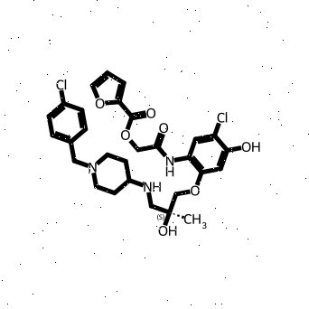 C[C@](O)(CNC1CCN(Cc2ccc(Cl)cc2)CC1)COc1cc(O)c(Cl)cc1NC(=O)COC(=O)c1ccco1